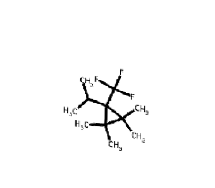 CC(C)C1(C(F)(F)F)C(C)(C)C1(C)C